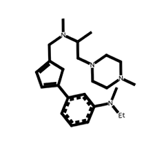 CCN(C)c1cccc(C2=CC=C(CN(C)C(C)CN3CCN(C)CC3)C2)c1